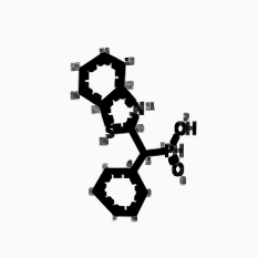 O=[PH](O)C(c1ccccc1)c1nc2ccccc2s1